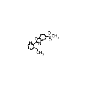 CCc1cccnc1-c1nc2cc(S(C)(=O)=O)ccc2o1